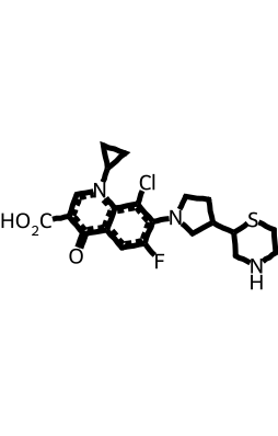 O=C(O)c1cn(C2CC2)c2c(Cl)c(N3CCC(C4CNCCS4)C3)c(F)cc2c1=O